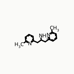 Cc1cccc(CC(N)Cc2cccc(C)n2)n1